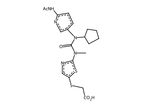 CC(=O)Nc1ccc(N(C(=O)N(C)c2ncc(SCC(=O)O)s2)C2CCCC2)cn1